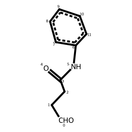 O=CCCC(=O)Nc1[c]cccc1